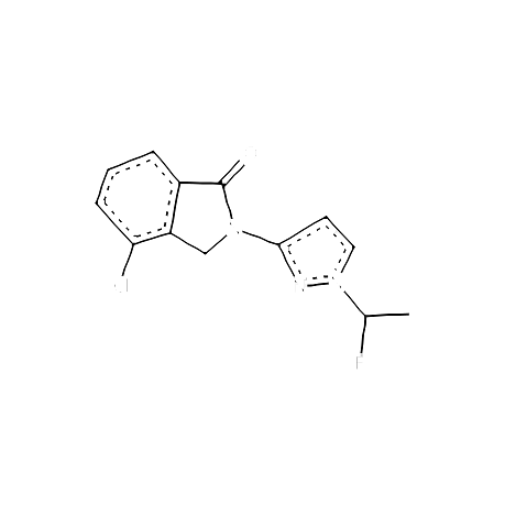 O=C1c2cccc(Cl)c2CN1c1ccn(C(F)F)n1